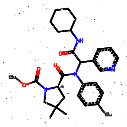 CC1(C)C[C@H](C(=O)N(c2ccc(C(C)(C)C)cc2)C(C(=O)NC2CCCCC2)c2cccnc2)N(C(=O)OC(C)(C)C)C1